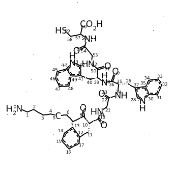 NCCCCCCCC(=O)[C@@H](Cc1ccccc1)C(=O)NCC(=O)N[C@@H](Cc1c[nH]c2ccccc12)C(=O)N[C@@H](Cc1c[nH]c2ccccc12)C(=O)NCC(=O)NC(CS)C(=O)O